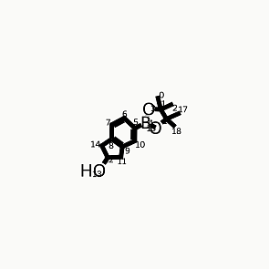 CC1(C)OB(c2ccc3c(c2)CC(O)C3)OC1(C)C